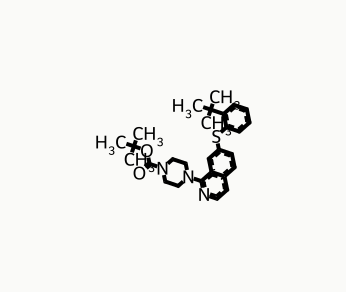 CC(C)(C)OC(=O)N1CCN(c2nccc3ccc(Sc4ccccc4C(C)(C)C)cc23)CC1